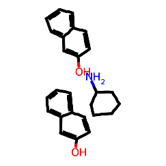 NC1CCCCC1.Oc1ccc2ccccc2c1.Oc1ccc2ccccc2c1